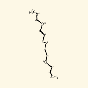 CCCOCCSSCCOCCC